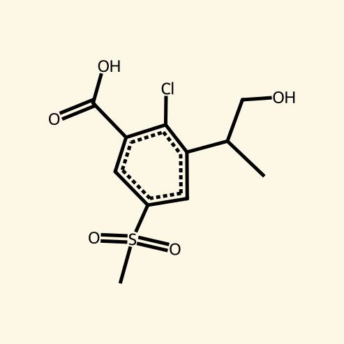 CC(CO)c1cc(S(C)(=O)=O)cc(C(=O)O)c1Cl